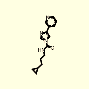 O=C(NCCCC1CC1)n1cnc(-c2cccnc2)c1